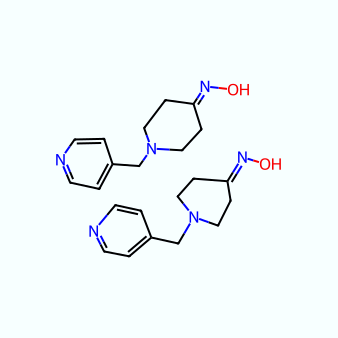 ON=C1CCN(Cc2ccncc2)CC1.ON=C1CCN(Cc2ccncc2)CC1